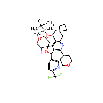 CC(C)(C)[Si](C)(C)OC1CC2(CCC2)Cc2nc(C3CCOCC3)c3c(c21)C1(CCOCC1I)O[C@@H]3c1ccc(C(F)(F)F)nc1